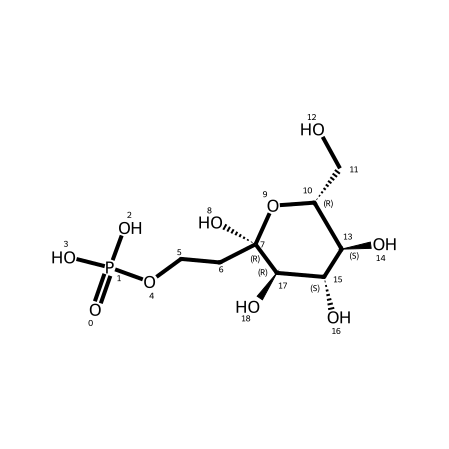 O=P(O)(O)OCC[C@@]1(O)O[C@H](CO)[C@@H](O)[C@H](O)[C@H]1O